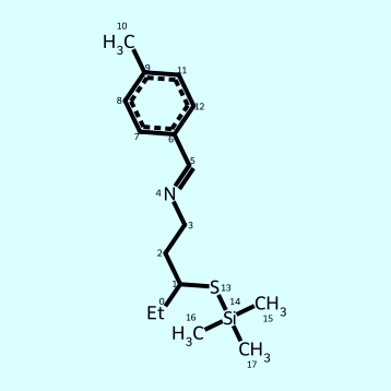 CCC(CC/N=C/c1ccc(C)cc1)S[Si](C)(C)C